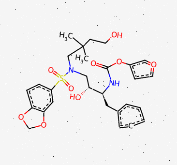 CC(C)(CCO)CN(C[C@@H](O)[C@H](Cc1ccccc1)NC(=O)Oc1ccoc1)S(=O)(=O)c1ccc2c(c1)OCO2